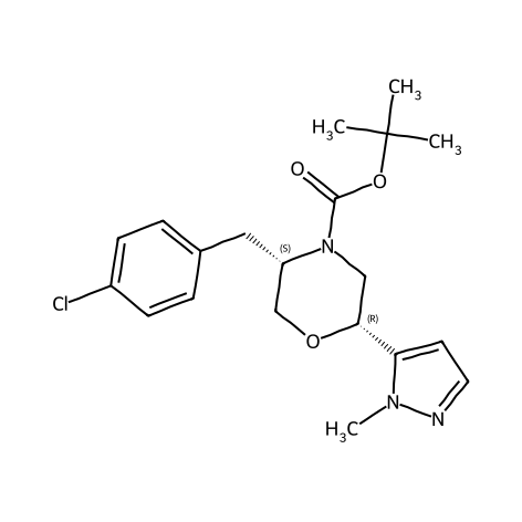 Cn1nccc1[C@H]1CN(C(=O)OC(C)(C)C)[C@@H](Cc2ccc(Cl)cc2)CO1